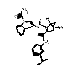 CC(C)c1cccc(NC(=O)[C@@H]2C[C@H]3C[C@H]3N2C(=O)Nc2cn(C(N)=O)c3ccccc23)c1